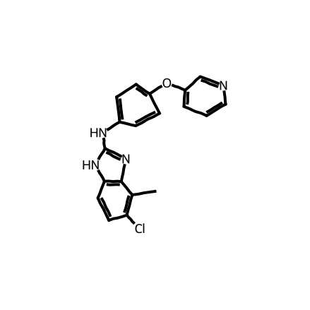 Cc1c(Cl)ccc2[nH]c(Nc3ccc(Oc4cccnc4)cc3)nc12